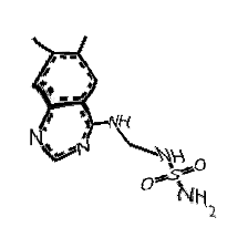 Cc1cc2ncnc(NCNS(N)(=O)=O)c2cc1C